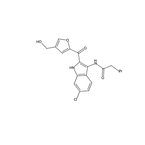 CC(C)CC(=O)Nc1c(C(=O)c2cc(CO)co2)[nH]c2cc(Cl)ccc12